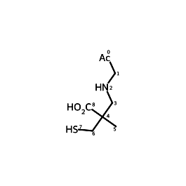 CC(=O)CNCC(C)(CS)C(=O)O